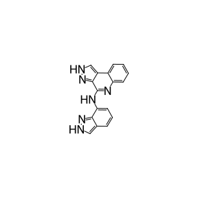 c1cc(Nc2nc3ccccc3c3c[nH]nc23)c2n[nH]cc2c1